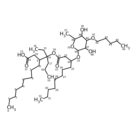 CCCCCCCCCC(CC(=O)O)C(CC)(CCC)OC(=O)CC(CCCCCCCC)OC1OC(C)C(O)C(OCCCCC)C1O